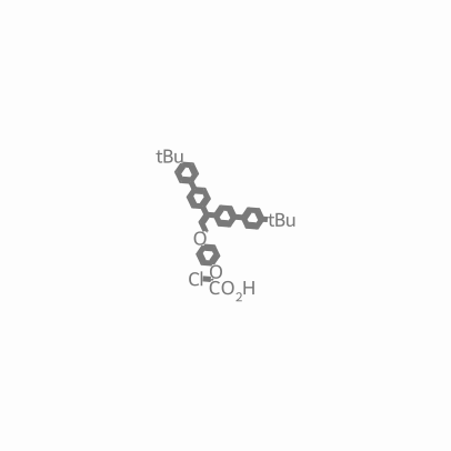 CC(C)(C)c1ccc(-c2ccc(C(=CCOc3ccc(OC(Cl)C(=O)O)cc3)c3ccc(-c4ccc(C(C)(C)C)cc4)cc3)cc2)cc1